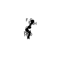 CN(C)CCNC(=O)c1cnc(-c2cc(Oc3cccc(C=CC(=O)Nc4cccc(C(F)(F)F)c4)c3)ccn2)[nH]1